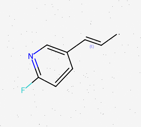 [CH2]/C=C/c1ccc(F)nc1